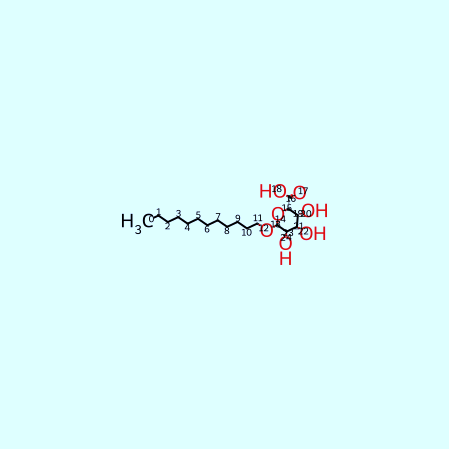 CCCCCCCCCCCCOC1O[C@H](C(=O)O)[C@H](O)[C@@H](O)[C@H]1O